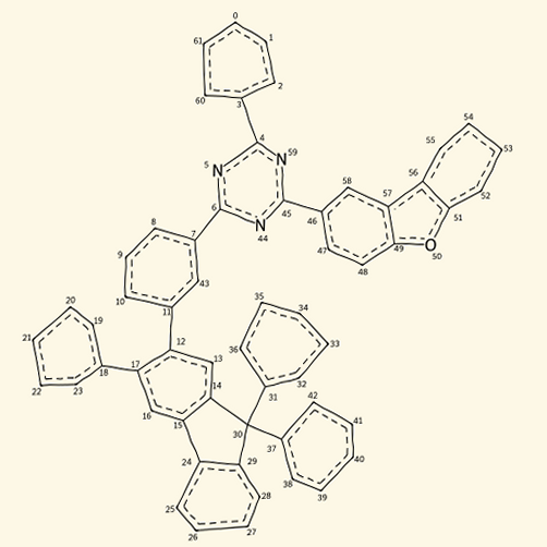 c1ccc(-c2nc(-c3cccc(-c4cc5c(cc4-c4ccccc4)-c4ccccc4C5(c4ccccc4)c4ccccc4)c3)nc(-c3ccc4oc5ccccc5c4c3)n2)cc1